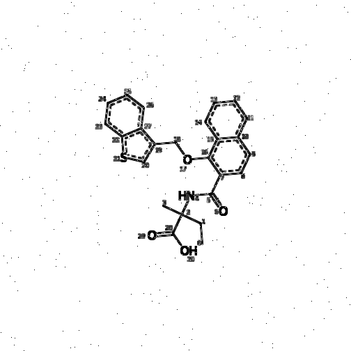 CCC(C)(NC(=O)c1ccc2ccccc2c1OCc1csc2ccccc12)C(=O)O